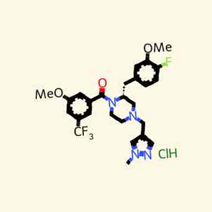 COc1cc(C(=O)N2CCN(Cc3cnn(C)c3)C[C@H]2Cc2ccc(F)c(OC)c2)cc(C(F)(F)F)c1.Cl